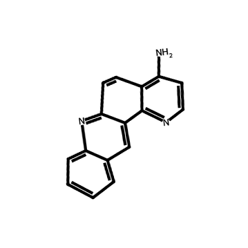 Nc1ccnc2c1ccc1nc3ccccc3cc12